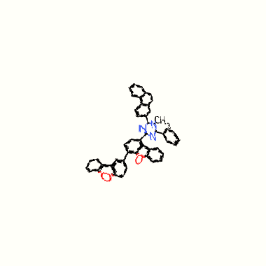 CN1C(c2ccccc2)=NC(c2ccc(-c3ccc4oc5ccccc5c4c3)c3oc4ccccc4c23)=NC1c1ccc2c(ccc3ccccc32)c1